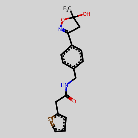 O=C(Cc1cccs1)NCc1ccc(C2=NOC(O)(C(F)(F)F)C2)cc1